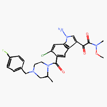 CON(C)C(=O)C(=O)c1cn(N)c2cc(Cl)c(C(=O)N3CCN(Cc4ccc(F)cc4)CC3C)cc12